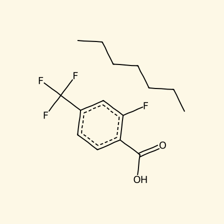 CCCCCCC.O=C(O)c1ccc(C(F)(F)F)cc1F